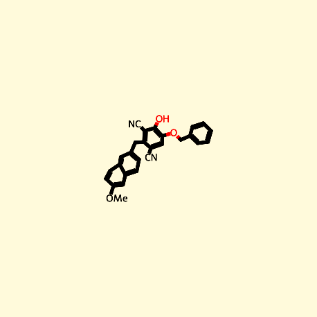 COc1ccc2cc(Cc3c(C#N)cc(OCc4ccccc4)c(O)c3C#N)ccc2c1